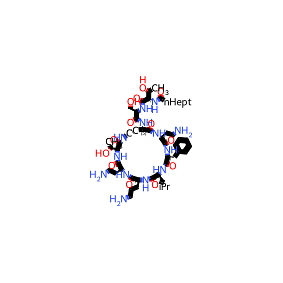 CCCCCCCC(=O)N[C@H](C(=O)N[C@H](CO)C(=O)N[C@H]1CCNC(=O)[C@H](C(C)O)NC(=O)[C@H](CCN)NC(=O)[C@H](CCCN)NC(=O)[C@H](CC(C)C)NC(=O)[C@@H](Cc2ccccc2)NC(=O)[C@H](CCN)NC1=O)C(C)O